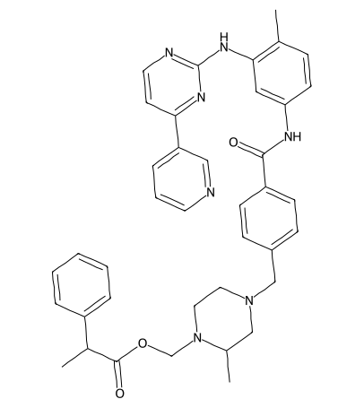 Cc1ccc(NC(=O)c2ccc(CN3CCN(COC(=O)C(C)c4ccccc4)C(C)C3)cc2)cc1Nc1nccc(-c2cccnc2)n1